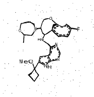 COC1(c2cc3c(NC4c5ccc(F)cc5OCC4N4CCOC(C)C4)ncnc3[nH]2)CCC1